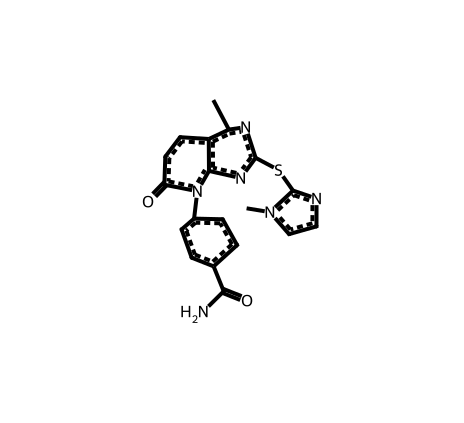 Cc1nc(Sc2nccn2C)nc2c1ccc(=O)n2-c1ccc(C(N)=O)cc1